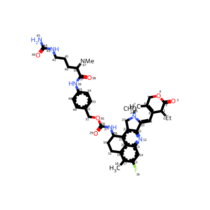 CCC1C(=O)OCC(C)=C1/C=C1/c2nc3cc(F)c(C)c4c3c(c2CN1C=O)C(NC(=O)OCc1ccc(NC(=O)C(CCCNC(N)=O)NC)cc1)CC4